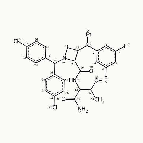 CCN(c1cc(F)cc(F)c1)C1CN(C(c2ccc(Cl)cc2)c2ccc(Cl)cc2)C1C(=O)NC(C(N)=O)C(C)O